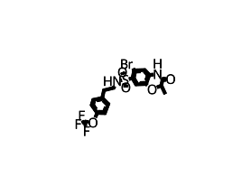 CC1Oc2cc(S(=O)(=O)NCCc3ccc(OC(F)(F)F)cc3)c(Br)cc2NC1=O